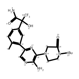 Cc1ccc(C(O)(C(N)=O)C(F)(F)F)cc1-c1cnc(N)c(N2CCN(C(C)(C)C)C(=O)C2)n1